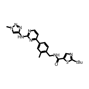 Cc1cc(-c2ccnc(Nc3cn(C)nn3)n2)ccc1CNC(=O)c1cnc(C(C)(C)C)s1